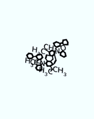 Cc1c(-c2ccccc2O)cccc1N(c1ccccc1)c1cc(C(C)C)c2c3c1C=Cc1c(C(C)C)cc(N(c4ccccc4)c4cccc5c4oc4ccccc45)c(c1C3)C=C2